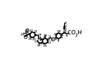 CC#C[C@@H](CC(=O)O)c1ccc(OCc2ccc3ccn(Cc4ccc(S(C)(=O)=O)cc4)c3c2C)cc1